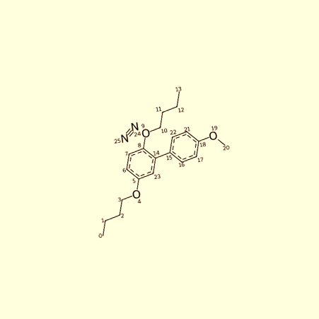 CCCCOc1ccc(OCCCC)c(-c2ccc(OC)cc2)c1.N#N